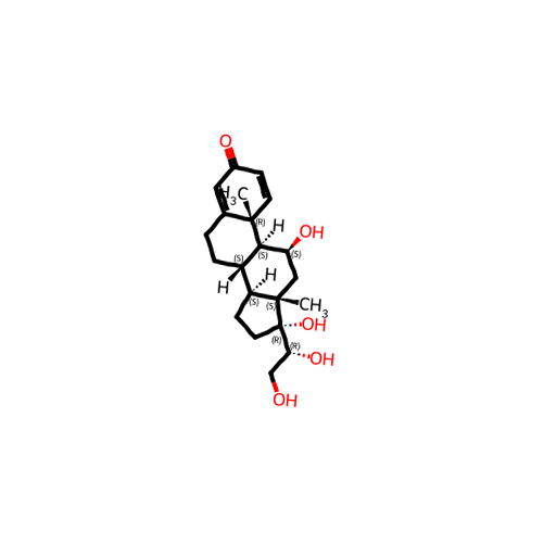 C[C@]12C=CC(=O)C=C1CC[C@@H]1[C@@H]2[C@@H](O)C[C@@]2(C)[C@H]1CC[C@]2(O)[C@H](O)CO